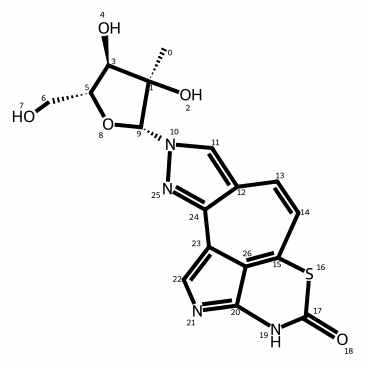 C[C@@]1(O)[C@H](O)[C@@H](CO)O[C@H]1n1cc2ccc3sc(=O)[nH]c4ncc(c2n1)c43